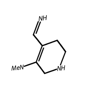 CNC1=C(C=N)CCNC1